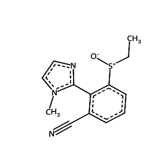 CC[S+]([O-])c1cccc(C#N)c1-c1nccn1C